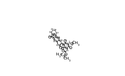 COCn1c(=O)n(CC(=O)OC(C)C)c(=O)n(-c2cc(N=c3sc(=O)n4n3CCCC4)c(F)cc2Cl)c1=O